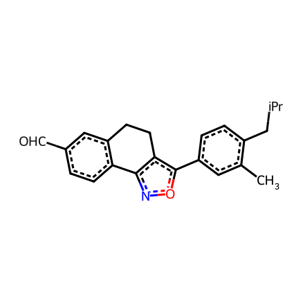 Cc1cc(-c2onc3c2CCc2cc(C=O)ccc2-3)ccc1CC(C)C